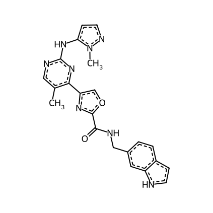 Cc1cnc(Nc2ccnn2C)nc1-c1coc(C(=O)NCc2ccc3cc[nH]c3c2)n1